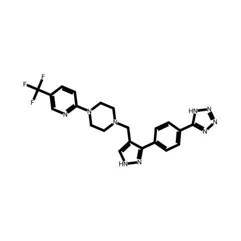 FC(F)(F)c1ccc(N2CCN(Cc3c[nH]nc3-c3ccc(-c4nnn[nH]4)cc3)CC2)nc1